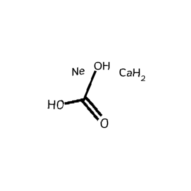 O=C(O)O.[CaH2].[Ne]